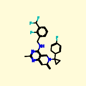 C=C1C=c2nc(C)nc(NCc3cccc(C(F)F)c3F)c2=CN1C1(C2C=CC(F)=CC2)CC1